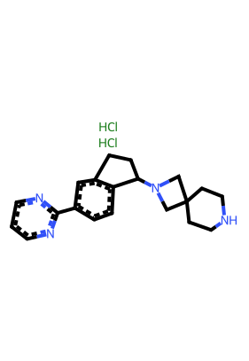 Cl.Cl.c1cnc(-c2ccc3c(c2)CCC3N2CC3(CCNCC3)C2)nc1